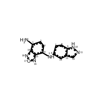 Nc1ccc(Nc2ccc3[nH]ncc3c2)c2nonc12